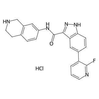 Cl.O=C(Nc1ccc2c(c1)CNCC2)c1n[nH]c2ccc(-c3cccnc3F)cc12